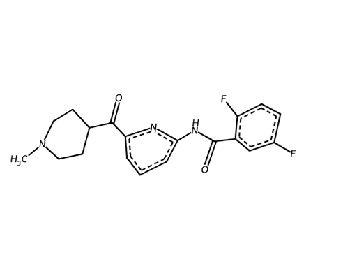 CN1CCC(C(=O)c2cccc(NC(=O)c3cc(F)ccc3F)n2)CC1